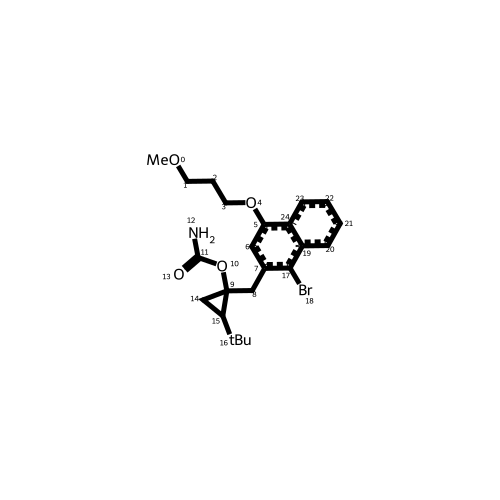 COCCCOc1cc(CC2(OC(N)=O)CC2C(C)(C)C)c(Br)c2ccccc12